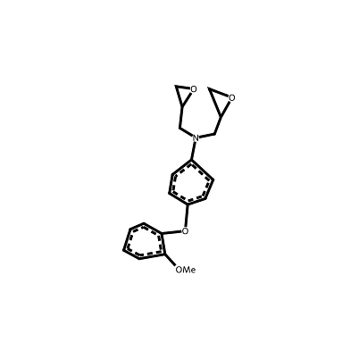 COc1ccccc1Oc1ccc(N(CC2CO2)CC2CO2)cc1